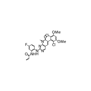 C=CC(=O)Nc1cc(F)ccc1Nc1ncc2cc(-c3c(Cl)c(OC)cc(OC)c3Cl)c(=O)n(C)c2n1